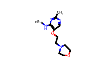 CCCCNc1nc(C)ncc1OCCN1CCOCC1